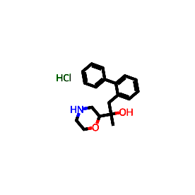 CC(O)(Cc1ccccc1-c1ccccc1)C1CNCCO1.Cl